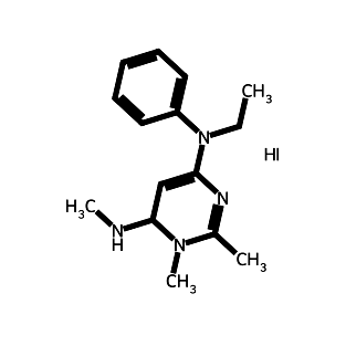 CCN(C1=CC(NC)N(C)C(C)=N1)c1ccccc1.I